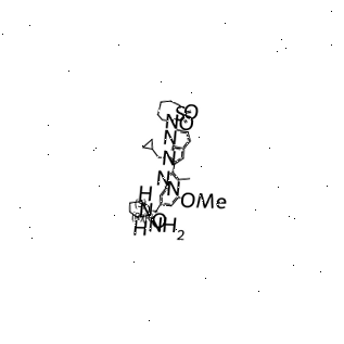 COc1cc(C(=O)N2[C@H]3CC[C@@H]2[C@H](N)C3)cc2nc(-c3cc4ccc(N5CCCCCS5(=O)=O)nc4n3CC3CC3)c(C)n12